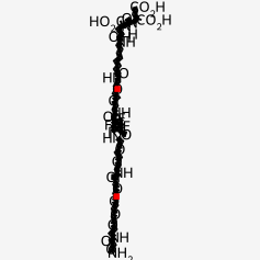 NOCC(=O)NCCOCCOCCOCCOCCC(=O)NCCOCCOCCNC(=O)c1c(F)c(F)c(C(=O)NCCOCCOCCNC(=O)CCCCCCCNC(=O)CC[C@H](NC(=O)N[C@@H](CCC(=O)O)C(=O)O)C(=O)O)c(F)c1F